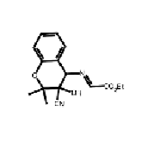 CCOC(=O)C=NC1c2ccccc2OC(C)(C)C1(O)C#N